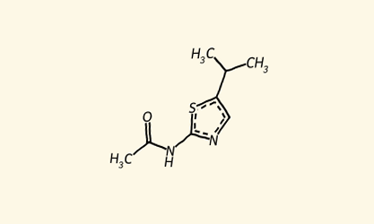 CC(=O)Nc1ncc(C(C)C)s1